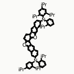 CC(C)c1ccc(N(c2ccc3cc4c(cc3c2)oc2ccc3c5cc6ccc(N(c7ccccc7C(C)C)c7c(C(C)C)cc(C(C)C)cc7C(C)C)cc6cc5oc3c24)c2ccccc2C(C)C)c(C(C)C)c1